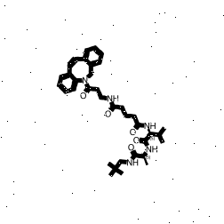 CC(C)[C@H](NC(=O)CCCC(=O)NCCC(=O)N1Cc2ccccc2C#Cc2ccccc21)C(=O)N[C@@H](C)C(=O)NCC(C)(C)C